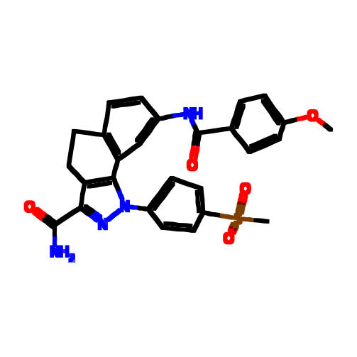 COc1ccc(C(=O)Nc2ccc3c(c2)-c2c(c(C(N)=O)nn2-c2ccc(S(C)(=O)=O)cc2)CC3)cc1